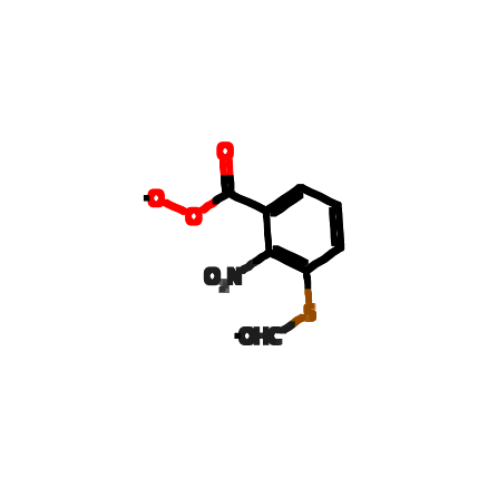 [O]OC(=O)c1cccc(S[C]=O)c1[N+](=O)[O-]